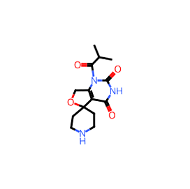 CC(C)C(=O)n1c2c(c(=O)[nH]c1=O)C1(CCNCC1)OC2